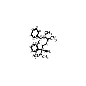 CC(CCC(C#N)(c1c(Cl)cccc1Cl)C(C)C)N(C)Cc1ccccc1